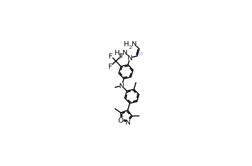 Cc1ccc(-c2c(C)noc2C)cc1N(C)c1ccc(N(N)/C=C\N)c(C(F)(F)F)c1